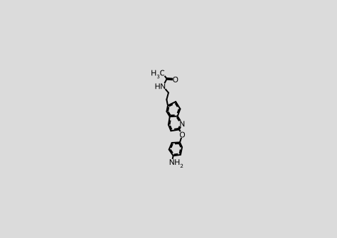 CC(=O)NCCc1ccc2nc(Oc3ccc(N)cc3)ccc2c1